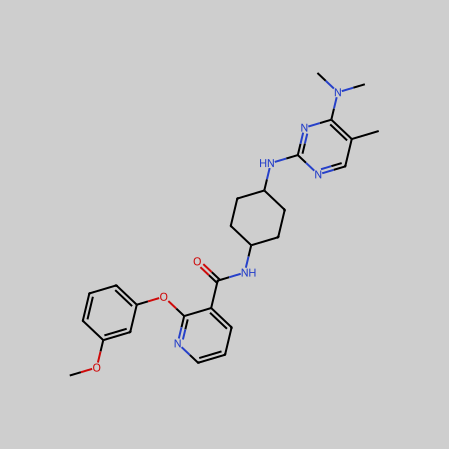 COc1cccc(Oc2ncccc2C(=O)NC2CCC(Nc3ncc(C)c(N(C)C)n3)CC2)c1